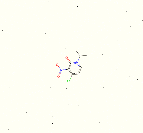 CC(C)n1ccc(Cl)c([N+](=O)[O-])c1=O